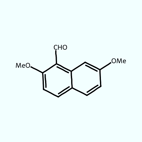 COc1ccc2ccc(OC)c(C=O)c2c1